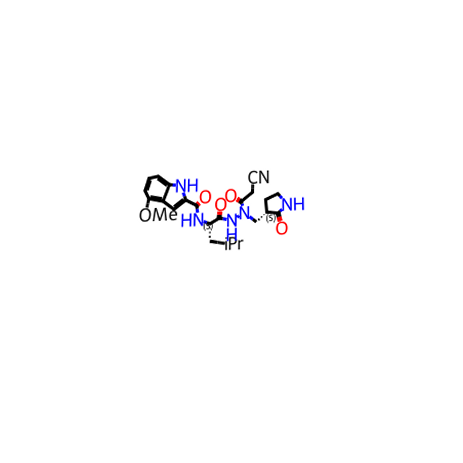 COc1cccc2[nH]c(C(=O)N[C@@H](CC(C)C)C(=O)NN(C[C@@H]3CCNC3=O)C(=O)CC#N)cc12